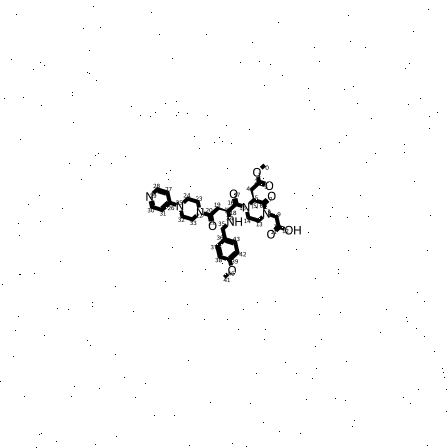 COC(=O)C[C@H]1C(=O)N(CC(=O)O)CCN1C(=O)[C@H](CC(=O)N1CCN(c2ccncc2)CC1)NCc1ccc(OC)cc1